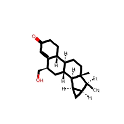 CC[C@]1(C#N)[C@H]2C[C@H]2[C@H]2[C@@H]3C[C@@H](CO)C4=CC(=O)CC[C@@H]4[C@H]3CC[C@@]21C